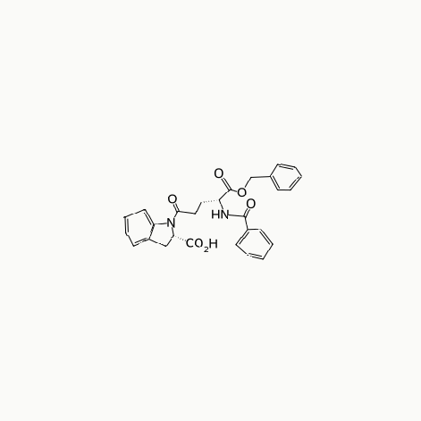 O=C(N[C@H](CCC(=O)N1c2ccccc2C[C@H]1C(=O)O)C(=O)OCc1ccccc1)c1ccccc1